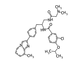 Cc1cccn2cc(-c3ccc(CC(CNC(=O)CN(C)C)NC(=O)c4ccc(OC(C)C)c(Cl)c4)cc3)nc12